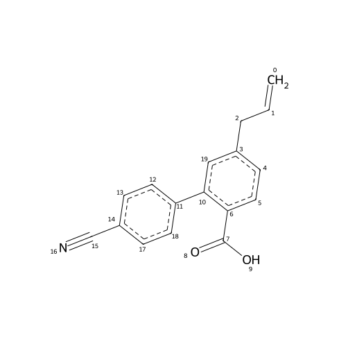 C=CCc1ccc(C(=O)O)c(-c2ccc(C#N)cc2)c1